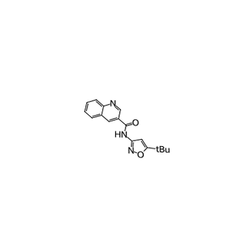 CC(C)(C)c1cc(NC(=O)c2cnc3ccccc3c2)no1